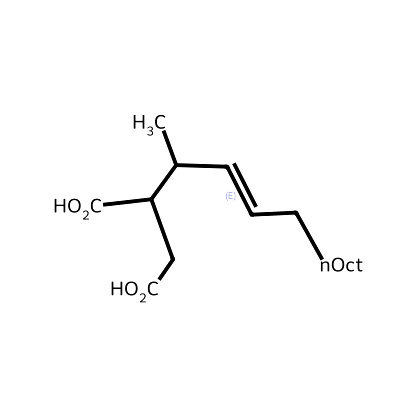 CCCCCCCCC/C=C/C(C)C(CC(=O)O)C(=O)O